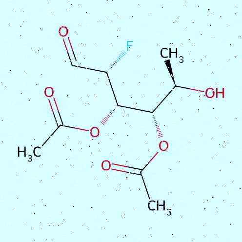 CC(=O)O[C@H]([C@H](OC(C)=O)[C@@H](F)C=O)[C@@H](C)O